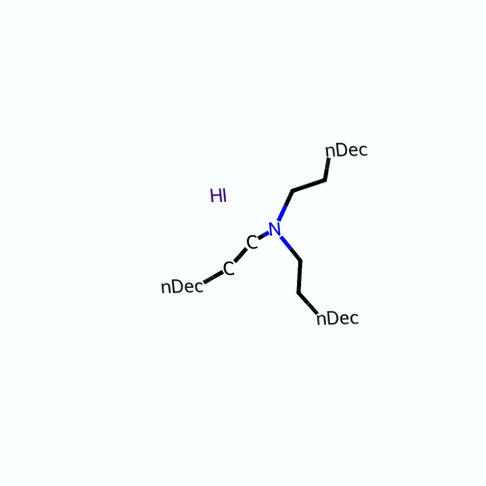 CCCCCCCCCCCCN(CCCCCCCCCCCC)CCCCCCCCCCCC.I